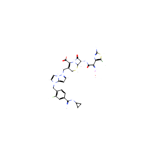 CO/N=C(\C(=O)N[C@@H]1C(=O)N2C(C(=O)[O-])=C(C[n+]3ccc4n(Cc5ccc(C(=N)NC6CC6)cc5F)ccn43)CS[C@H]12)c1nc(N)sc1Cl